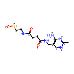 Cc1ncc(CNC(=O)CCC(=O)NCC[PH]=O)c(N)n1